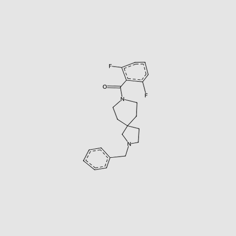 O=C(c1c(F)cccc1F)N1CCC2(CCN(Cc3ccccc3)C2)CC1